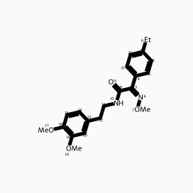 CCc1ccc(C(=NOC)C(=O)NCCc2ccc(OC)c(OC)c2)cc1